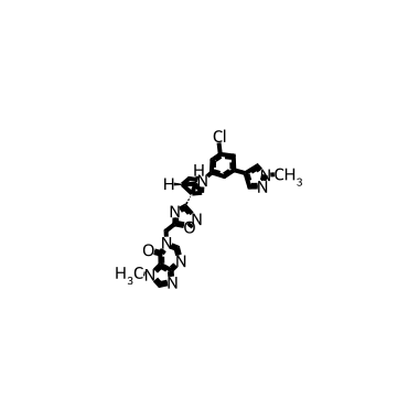 Cn1cc(-c2cc(Cl)cc(N3C[C@@H]4[C@@H]5C3[C@@]45c3noc(Cn4cnc5ncn(C)c5c4=O)n3)c2)cn1